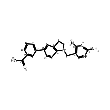 Nc1ncc(CN2CCc3cc(-c4cccc(C(=O)O)c4)ccc32)c(N)n1